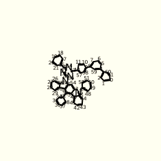 c1ccc(-c2cccc(-c3ccc(-c4nc(-c5ccccc5)nc(-n5c6ccccc6c6c(-c7ccccc7)c7c8ccccc8n(-c8ccccc8)c7cc65)n4)cc3)c2)cc1